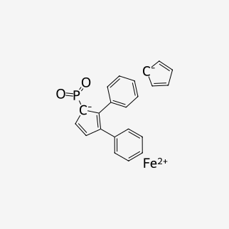 O=P(=O)[c-]1ccc(-c2ccccc2)c1-c1ccccc1.[Fe+2].c1cc[cH-]c1